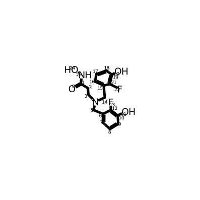 O=C(CCN(Cc1cccc(O)c1F)Cc1cccc(O)c1F)NO